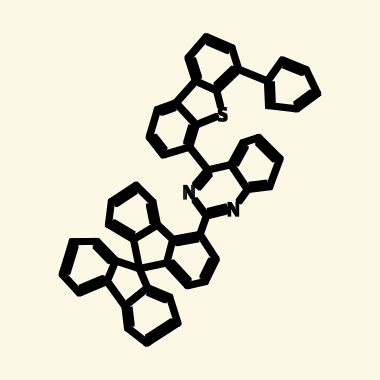 c1ccc(-c2cccc3c2sc2c(-c4nc(-c5cccc6c5-c5ccccc5C65c6ccccc6-c6ccccc65)nc5ccccc45)cccc23)cc1